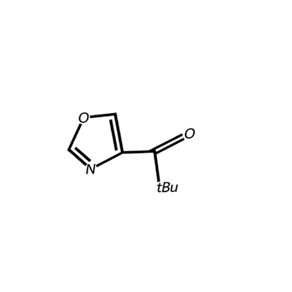 CC(C)(C)C(=O)c1cocn1